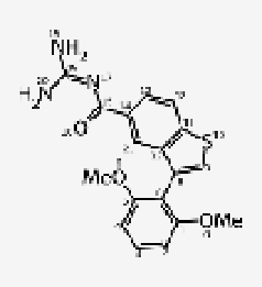 COc1cccc(OC)c1-c1csc2ccc(C(=O)N=C(N)N)cc12